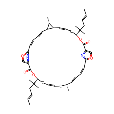 C/C=C/CC(C)(C)[C@@H]1C/C=C\C[C@@H](C)/C=C/C=C\c2nc(co2)C(=O)O[C@H](C(C)(C)C/C=C/C)C/C=C\C2C(/C=C/C=C\c3nc(co3)C(=O)O1)[C@@H]2C